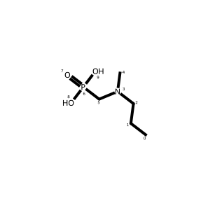 CCCN(C)CP(=O)(O)O